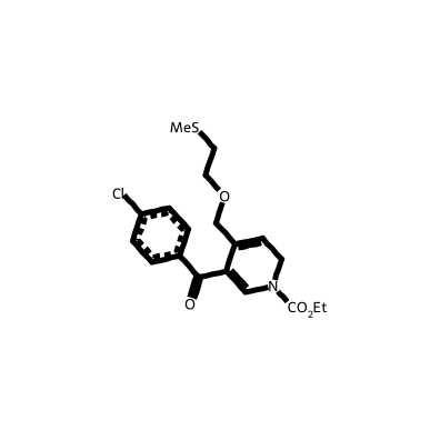 CCOC(=O)N1C=C(C(=O)c2ccc(Cl)cc2)C(COCCSC)=CC1